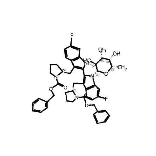 C[C@@H]1O[C@H](n2c(-c3[nH]c4cc(F)ccc4c3C[C@@H]3CCCN3C(=O)OCc3ccccc3)c(C[C@@H]3CCCN3C(=O)OCc3ccccc3)c3ccc(F)cc32)[C@@H](O)[C@H](O)[C@@H]1O